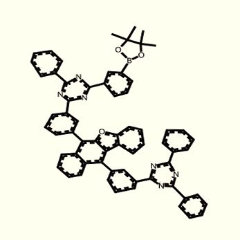 CC1(C)OB(c2cccc(-c3nc(-c4ccccc4)nc(-c4cccc(-c5c6ccccc6c(-c6cccc(-c7nc(-c8ccccc8)nc(-c8ccccc8)n7)c6)c6c5oc5ccccc56)c4)n3)c2)OC1(C)C